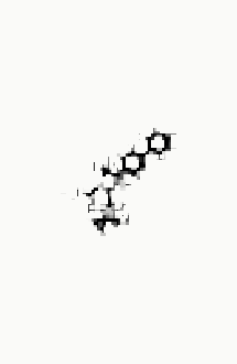 CC(C)C[C@H](N[C@@H](c1ccc(-c2ccccc2)cc1)C(F)(F)F)C(=O)NC1(C#N)CC1